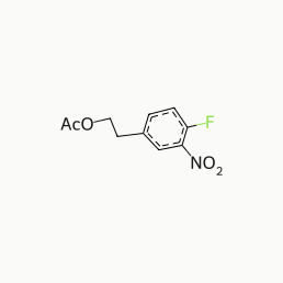 CC(=O)OCCc1ccc(F)c([N+](=O)[O-])c1